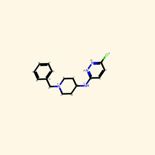 Clc1ccc(NC2CCN(Cc3ccccc3)CC2)nn1